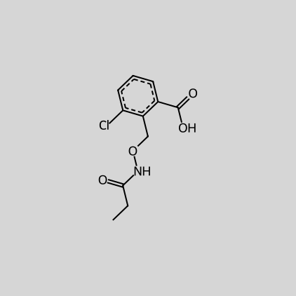 CCC(=O)NOCc1c(Cl)cccc1C(=O)O